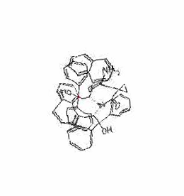 NC(=O)C1(C(=O)N([C@@H](c2cccc3ccccc23)C(O)(c2ccccc2)c2ccccc2)[C@@H](c2cccc3ccccc23)C(O)(c2ccccc2)c2ccccc2)CC1